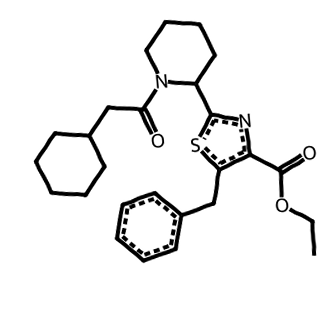 CCOC(=O)c1nc(C2CCCCN2C(=O)CC2CCCCC2)sc1Cc1ccccc1